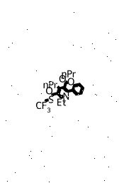 CCCOC(=O)c1c(-c2ccccc2)nc(CC)c(C(=O)SCC(F)(F)F)c1CCC